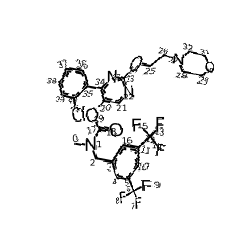 CN(Cc1cc(C(F)(F)F)cc(C(F)(F)F)c1)C(=O)Oc1cnc(OCCN2CCOCC2)nc1-c1ccccc1Cl